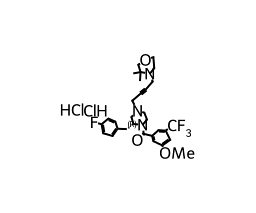 COc1cc(C(=O)N2CCN(CC#CCN3CCOCC3(C)C)C[C@H]2Cc2ccc(F)cc2)cc(C(F)(F)F)c1.Cl.Cl